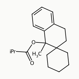 CC(C)C(=O)OC1(C)c2ccccc2CCC12CCCCC2